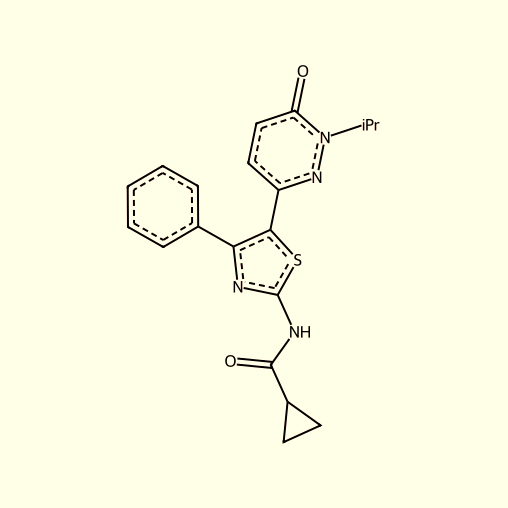 CC(C)n1nc(-c2sc(NC(=O)C3CC3)nc2-c2ccccc2)ccc1=O